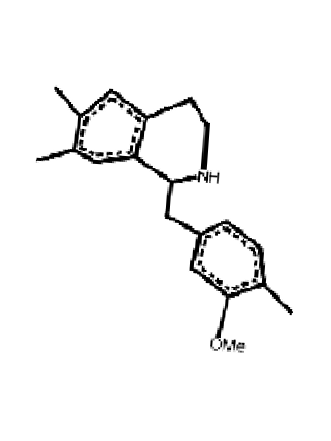 COc1cc(CC2NCCc3cc(C)c(C)cc32)ccc1C